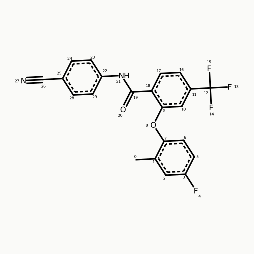 Cc1cc(F)ccc1Oc1cc(C(F)(F)F)ccc1C(=O)Nc1ccc(C#N)cc1